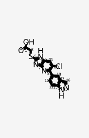 O=C(O)CSc1nc2nc(-c3ccc4[nH]ncc4c3)c(Cl)cc2[nH]1